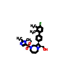 Cc1c(F)ccc(-c2ccc([C@H]3C4CN(S(=O)(=O)c5cnc(C)n5C)C/C=C\CN4[C@@H]3CO)cc2)c1C